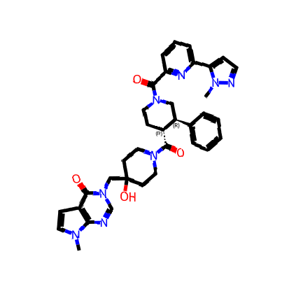 Cn1nccc1-c1cccc(C(=O)N2CC[C@@H](C(=O)N3CCC(O)(Cn4cnc5c(ccn5C)c4=O)CC3)[C@H](c3ccccc3)C2)n1